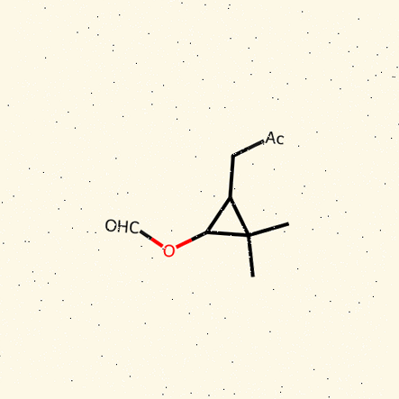 CC(=O)CC1C(OC=O)C1(C)C